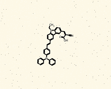 CCn1c2ccc(C=Cc3ccc(N(c4ccccc4)c4ccccc4)cc3)cc2c2cc(C=C(C#N)C(=O)O)ccc21